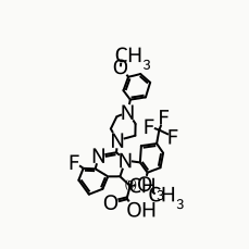 COc1cccc(N2CCN(C3=Nc4c(F)cccc4C([C@@H](C)C(=O)O)N3c3cc(C(F)(F)F)ccc3OC)CC2)c1